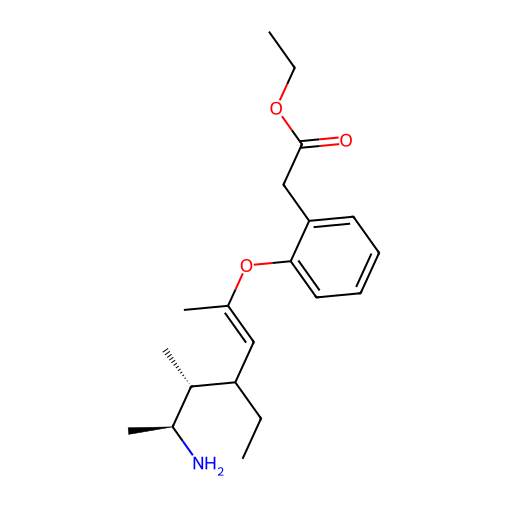 CCOC(=O)Cc1ccccc1OC(C)=CC(CC)[C@@H](C)[C@H](C)N